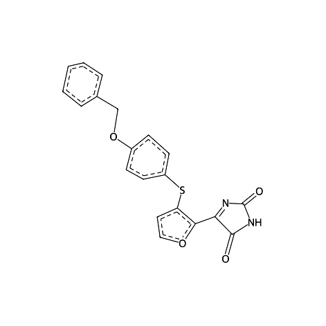 O=C1N=C(c2occc2Sc2ccc(OCc3ccccc3)cc2)C(=O)N1